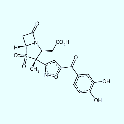 C[C@]1(c2cc(C(=O)c3ccc(O)c(O)c3)on2)[C@H](CC(=O)O)N2C(=O)C[C@H]2S1(=O)=O